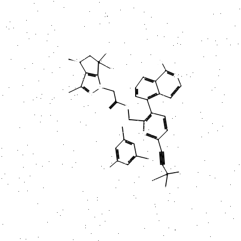 C[C@H]1CC(F)(F)c2c1c(C(F)(F)F)nn2CC(=O)N[C@@H](Cc1cc(F)cc(F)c1)c1nc(C#CC(C)(C)O)ccc1-c1cccc2c(N)nccc12